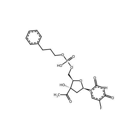 CC(=O)[C@]1(O)C[C@H](n2cc(F)c(=O)[nH]c2=O)O[C@@H]1COP(=O)(O)OCCCc1ccccc1